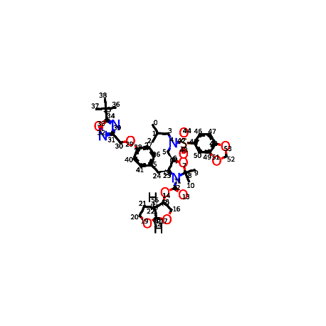 CC(C)CN(C[C@H]1OC(C)(C)N(C(=O)O[C@H]2CO[C@H]3OCC[C@H]32)[C@H]1Cc1ccc(OCc2noc(C(C)(C)C)n2)cc1)S(=O)(=O)c1ccc2c(c1)OCO2